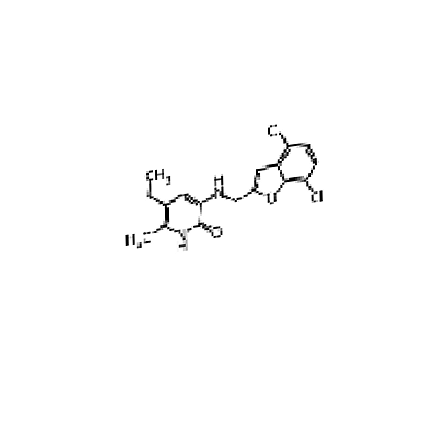 CCc1cc(NCc2cc3c(Cl)ccc(Cl)c3o2)c(=O)[nH]c1C